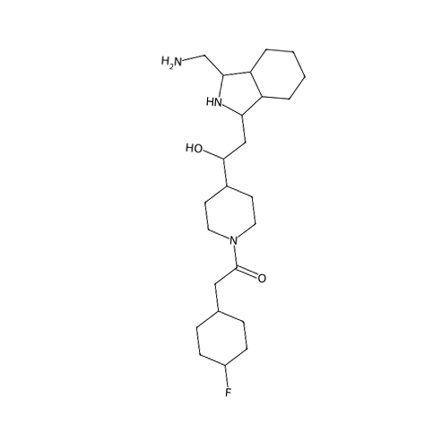 NCC1NC(CC(O)C2CCN(C(=O)CC3CCC(F)CC3)CC2)C2CCCCC12